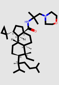 CC[C@]1(C)[C@@H]([C@@](C)(CCC(C)C)C(C)C)CC[C@@H]2[C@H]3[C@H](C4(C)CC4)CC[C@]3(C(=O)NC(C)(C)CN3CCOCC3)CC[C@]21C